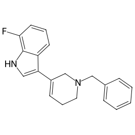 Fc1cccc2c(C3=CCCN(Cc4ccccc4)C3)c[nH]c12